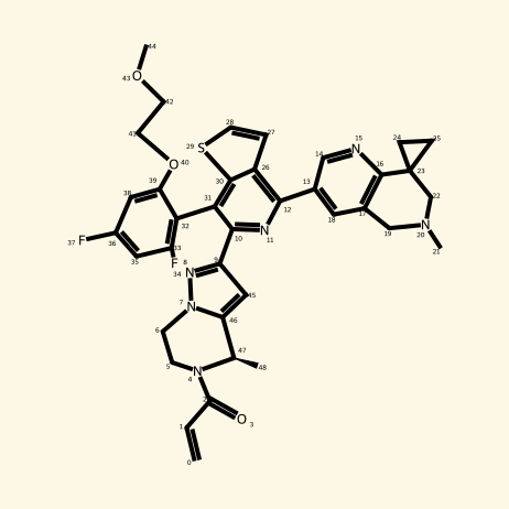 C=CC(=O)N1CCn2nc(-c3nc(-c4cnc5c(c4)CN(C)CC54CC4)c4ccsc4c3-c3c(F)cc(F)cc3OCCOC)cc2[C@H]1C